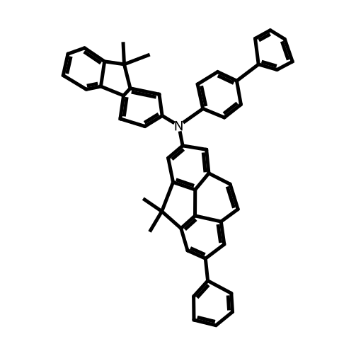 CC1(C)c2ccccc2-c2ccc(N(c3ccc(-c4ccccc4)cc3)c3cc4c5c(ccc6cc(-c7ccccc7)cc(c65)C4(C)C)c3)cc21